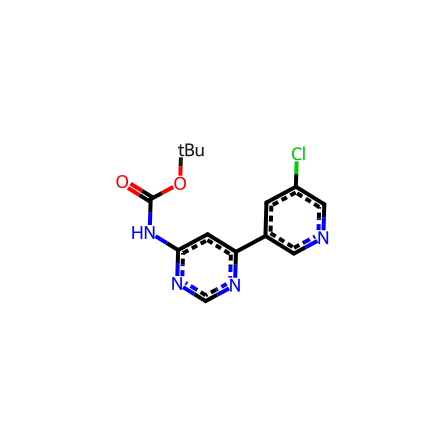 CC(C)(C)OC(=O)Nc1cc(-c2cncc(Cl)c2)ncn1